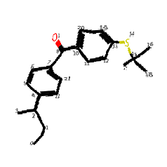 CCC(C)c1ccc(C(=O)c2ccc(SC(C)(C)C)cc2)cc1